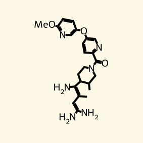 COc1ccc(Oc2ccc(C(=O)N3CCC(/C(N)=C(\C)C=C(N)N)C(C)C3)nc2)cn1